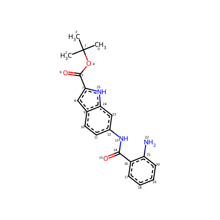 CC(C)(C)OC(=O)c1cc2ccc(NC(=O)c3ccccc3N)cc2[nH]1